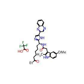 CCC(=O)CCCCC[C@H](NC(=O)Cc1c(C)[nH]c2ccc(OC)cc12)c1ncc(-c2cnc3ccccc3n2)[nH]1.O=C(O)C(F)(F)F